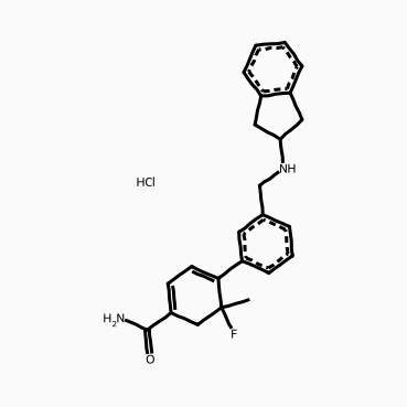 CC1(F)CC(C(N)=O)=CC=C1c1cccc(CNC2Cc3ccccc3C2)c1.Cl